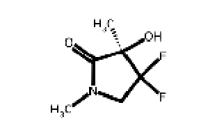 CN1CC(F)(F)[C@](C)(O)C1=O